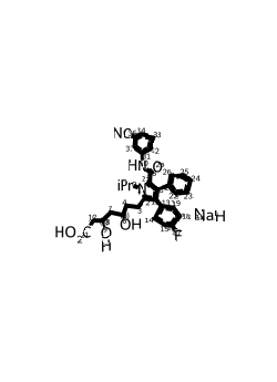 CC(C)n1c(CC[C@@H](O)C[C@@H](O)CC(=O)O)c(-c2ccc(F)cc2)c(-c2ccccc2)c1C(=O)Nc1cccc(C#N)c1.[NaH]